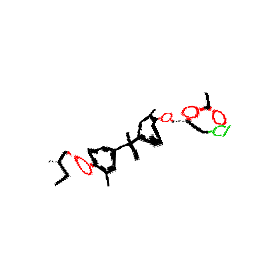 CC[C@H](C)COc1ccc(C(C)(C)c2ccc(OC[C@@H](CCl)OC(C)=O)c(C)c2)cc1C